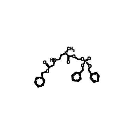 CN(CCNCC(=O)OCc1ccccc1)C(=O)OCOP(=O)(OCc1ccccc1)OCc1ccccc1